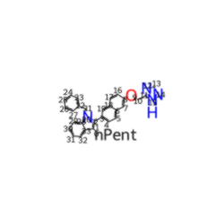 CCCCCc1c(-c2ccc3cc(OCc4ncn[nH]4)ccc3c2)n(Cc2ccccc2)c2ccccc12